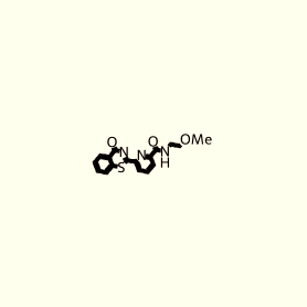 COCCNC(=O)c1cccc(-c2nc(=O)c3ccccc3s2)n1